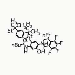 CCCCC(Nc1cc(O)c(NCC(CCC)c2c(F)c(F)c(F)c(F)c2F)cc1Cl)Oc1ccc(C(C)(C)CC)cc1C(C)(C)CC